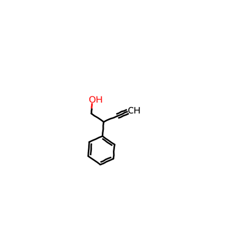 C#CC(CO)c1ccccc1